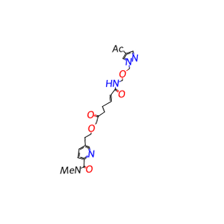 CNC(=O)c1ccc(CCOCC(=O)CC/C=C/C(=O)NCOCn2cc(C(C)=O)cn2)cn1